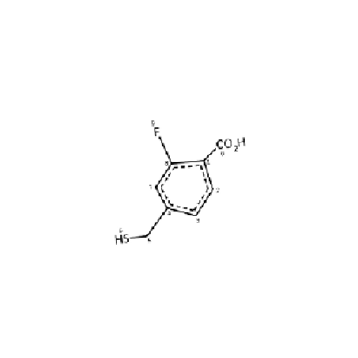 O=C(O)c1ccc(CS)cc1F